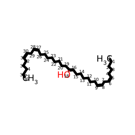 CCCCC/C=C\C/C=C\CCCCCCC=C(O)CCCCCCCC/C=C\C/C=C\CCCCC